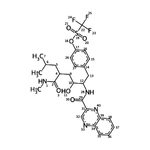 CNC(=O)C(CC(C)C)CC(O)C(Cc1ccc(OS(=O)(=O)C(F)(F)F)cc1)NC(=O)c1cnc2ccccc2n1